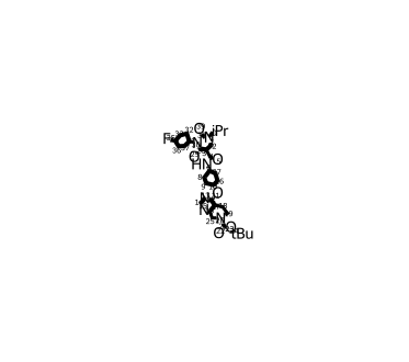 CC(C)n1cc(C(=O)Nc2ccc(Oc3ncnc4c3CCN(C(=O)OC(C)(C)C)C4)cc2)c(=O)n(-c2ccc(F)cc2)c1=O